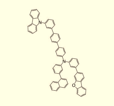 c1cc(-c2ccc3c(c2)oc2ccccc23)cc(N(c2ccc(-c3ccc(-c4cccc(-n5c6ccccc6c6ccccc65)c4)cc3)cc2)c2cccc(-c3cccc4ccccc34)c2)c1